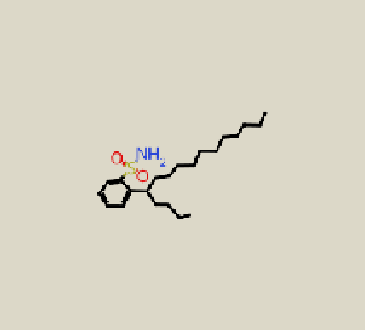 CCCCCCCCCCCC(CCCC)c1ccccc1S(N)(=O)=O